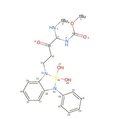 CC(C)(C)NC(NC(=O)OC(C)(C)C)C(=O)CCN1c2ccccc2N(c2ccccc2)S1(O)O